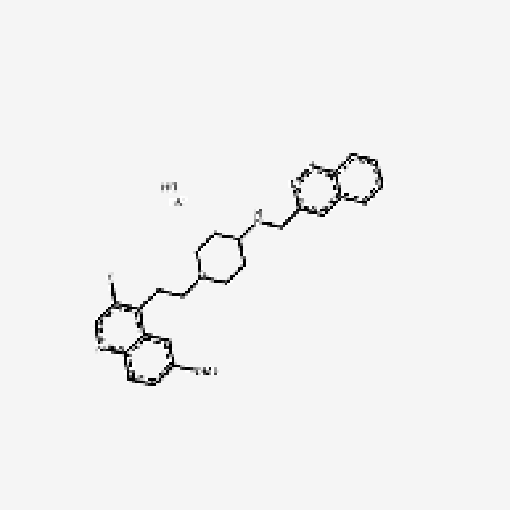 COc1ccc2ncc(F)c(CCN3CCC(NCc4cc5ccccc5nn4)CC3)c2c1.Cl.Cl